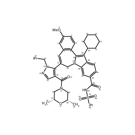 COc1ccc2c(c1)C=C(c1c(C(=O)N3C[C@@H](C)O[C@@H](C)C3)cnn1CC(C)C)Cn1c-2c(C2CCCCC2)c2ccc(C(=O)NS(=O)(=O)C(C)C)cc21